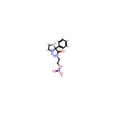 O=C(NCCO[N+](=O)[O-])C1(c2ccccc2)NCCS1